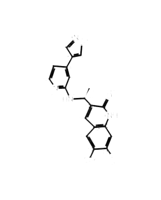 C[C@H](Nc1cc(-c2cnoc2)ccn1)c1cc2cc(Cl)c(F)cc2[nH]c1=O